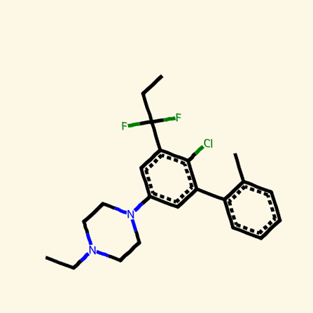 CCN1CCN(c2cc(-c3ccccc3C)c(Cl)c(C(F)(F)CC)c2)CC1